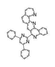 c1ccc(-c2cc(-c3ccccc3)nc(-c3nc4ccccc4c4nc5c(ccc6cccnc65)cc34)n2)cc1